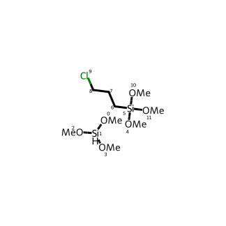 CO[SiH](OC)OC.CO[Si](CCCCl)(OC)OC